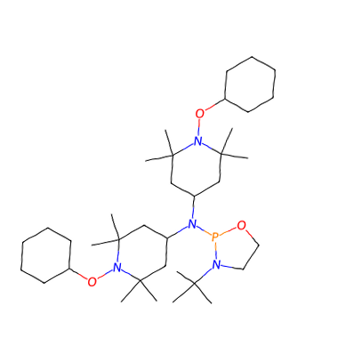 CC(C)(C)N1CCOP1N(C1CC(C)(C)N(OC2CCCCC2)C(C)(C)C1)C1CC(C)(C)N(OC2CCCCC2)C(C)(C)C1